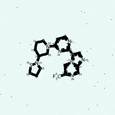 FC(F)(F)c1cn2c(-c3nccc(N4CCCC(N5CCCS5)C4)n3)cnc2cn1